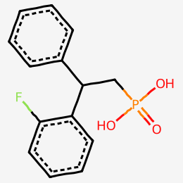 O=P(O)(O)CC(c1ccccc1)c1ccccc1F